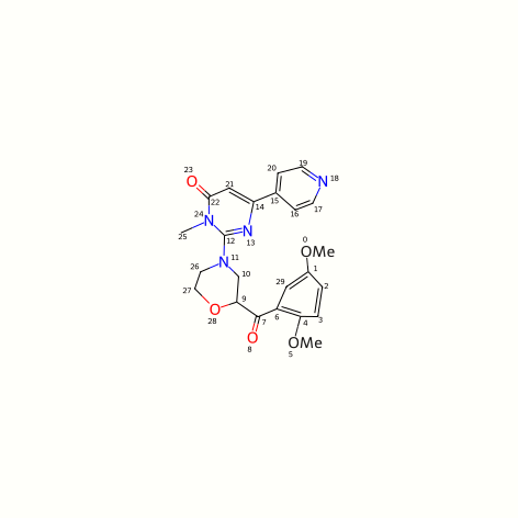 COc1ccc(OC)c(C(=O)C2CN(c3nc(-c4ccncc4)cc(=O)n3C)CCO2)c1